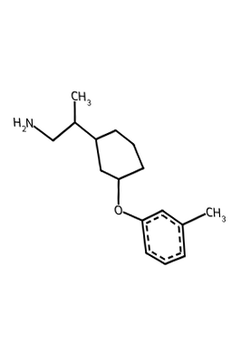 Cc1cccc(OC2CCCC(C(C)CN)C2)c1